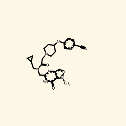 Cn1ncc2nc(CN(CC3CC3)C(=O)CN3CCC(Oc4ccc(C#N)cc4)CC3)[nH]c(=O)c21